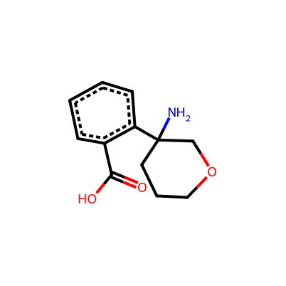 NC1(c2ccccc2C(=O)O)CCCOC1